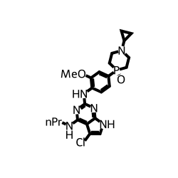 CCCNc1nc(Nc2ccc(P3(=O)CCN(C4CC4)CC3)cc2OC)nc2[nH]cc(Cl)c12